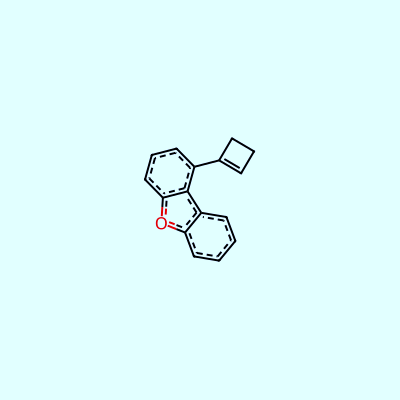 C1=C(c2cccc3oc4ccccc4c23)CC1